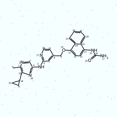 Cc1ncc(Nc2cc(COc3ccc(NC(N)=O)c4ccccc34)ccn2)nc1C1CC1